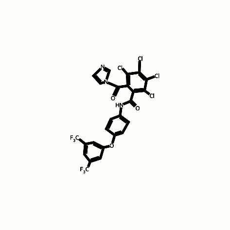 O=C(Nc1ccc(Oc2cc(C(F)(F)F)cc(C(F)(F)F)c2)cc1)c1c(Cl)c(Cl)c(Cl)c(Cl)c1C(=O)n1ccnc1